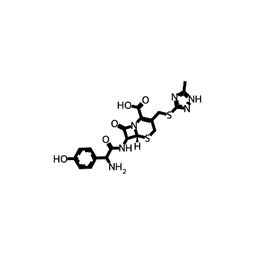 Cc1nc(SCC2=C(C(=O)O)N3C(=O)C(NC(=O)C(N)c4ccc(O)cc4)[C@H]3SC2)n[nH]1